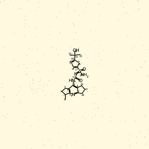 CC1CCc2c1nc1c(c2NC(=O)N=[S@@](N)(=O)c2cnc(C(C)(C)O)s2)CCC1